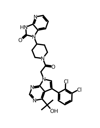 CC(C)(O)c1ncnc2c1c(-c1cccc(Cl)c1Cl)cn2CC(=O)N1CCC(n2c(=O)[nH]c3ncccc32)CC1